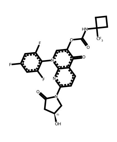 O=C(NC1(C(F)(F)F)CCC1)Oc1cn(-c2c(F)cc(F)cc2F)c2nc(N3C[C@@H](O)CC3=O)ccc2c1=O